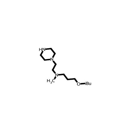 CCC(C)OCCCN(C)CCN1CCNCC1